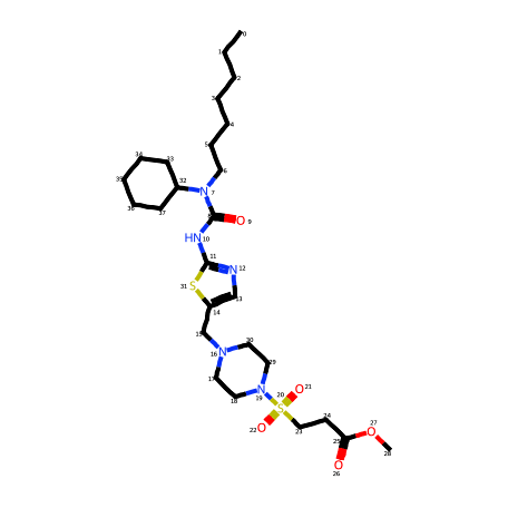 CCCCCCCN(C(=O)Nc1ncc(CN2CCN(S(=O)(=O)CCC(=O)OC)CC2)s1)C1CCCCC1